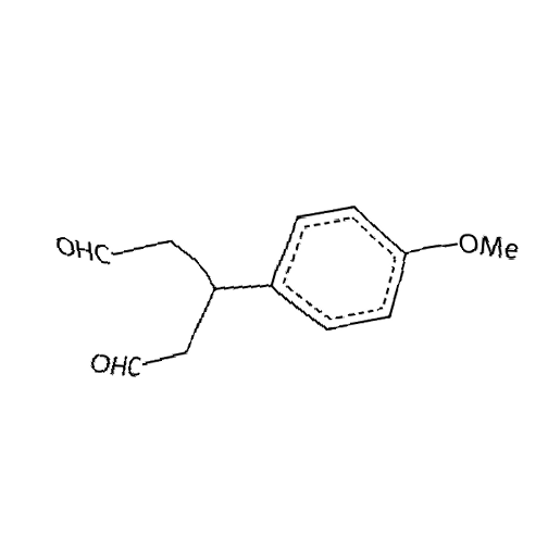 COc1ccc(C(CC=O)CC=O)cc1